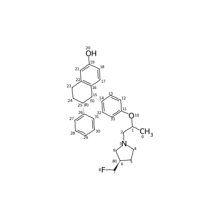 CC(CN1CC[C@@H](CF)C1)Oc1ccc([C@H]2c3ccc(O)cc3CC[C@H]2c2ccccc2)cc1